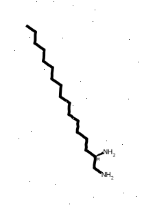 CCCCCCCCCCCCCCC[C@@H](N)CN